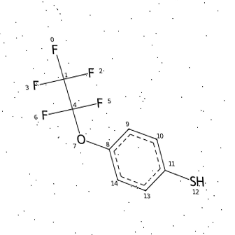 FC(F)(F)C(F)(F)Oc1ccc(S)cc1